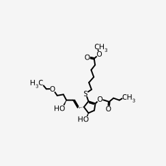 CCCC(=O)OC1=C(SCCCCCC(=O)OC)[C@@H](/C=C/[C@@H](O)CCOCC)[C@H](O)C1